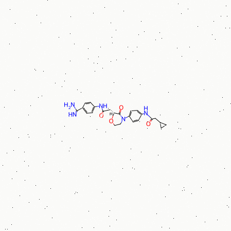 N=C(N)c1ccc(NC(=O)C[C@H]2OCCN(c3ccc(NC(=O)CC4CC4)cc3)C2=O)cc1